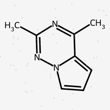 Cc1nc(C)c2cccn2n1